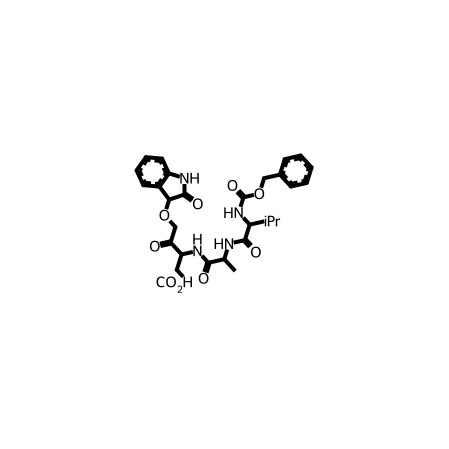 CC(NC(=O)C(NC(=O)OCc1ccccc1)C(C)C)C(=O)NC(CC(=O)O)C(=O)COC1C(=O)Nc2ccccc21